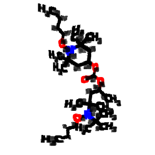 CCCCON(C(C)(C)C)C(C)(C)CC(C)OC(=O)OC1CC(C)(C)N(OCCCC)C(C)(C)C1